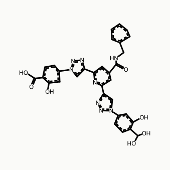 O=C(NCc1ccccc1)c1cc(-c2cn(-c3ccc(C(=O)O)c(O)c3)nn2)nc(-c2cn(-c3ccc(C(O)O)c(O)c3)nn2)c1